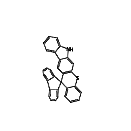 c1ccc2c(c1)Sc1cc3[nH]c4ccccc4c3cc1C21c2ccccc2-c2ccccc21